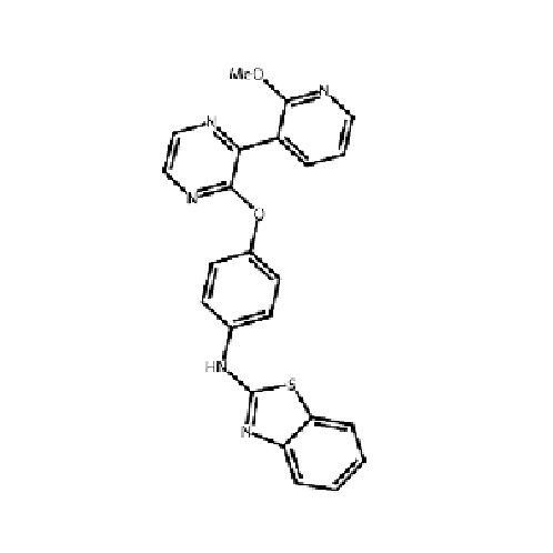 COc1ncccc1-c1nccnc1Oc1ccc(Nc2nc3ccccc3s2)cc1